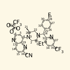 CC[C@@H]1CN(c2cc(OS(=O)(=O)C(F)(F)F)nc3ccc(C#N)nc23)[C@@H](C)CN1C(c1ccc(F)cc1)c1ccc(C(F)(F)F)cn1